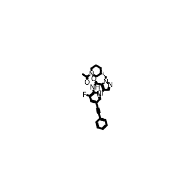 CC(=O)N1CCC[C@H](Cn2ncc(Cl)c2C(=O)Nc2ncc(C#Cc3ccccc3)cc2F)C1